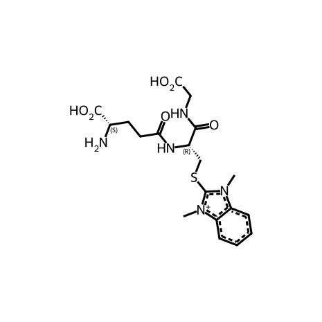 Cn1c(SC[C@H](NC(=O)CC[C@H](N)C(=O)O)C(=O)NCC(=O)O)[n+](C)c2ccccc21